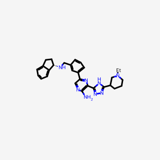 CCN1CCCC(c2nnc(-c3nc(-c4cccc(CN[C@H]5CCc6ccccc65)c4)cnc3N)[nH]2)C1